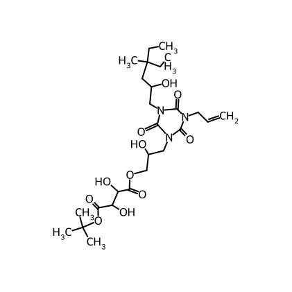 C=CCn1c(=O)n(CC(O)COC(=O)C(O)C(O)C(=O)OC(C)(C)C)c(=O)n(CC(O)CC(C)(CC)CC)c1=O